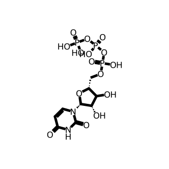 O=c1ccn([C@@H]2O[C@H](COP(=O)(O)OP(=O)(O)OP(=O)(O)O)C(O)[C@@H]2O)c(=O)[nH]1